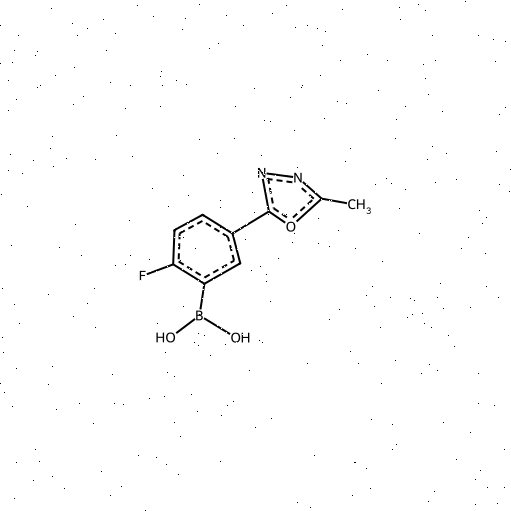 Cc1nnc(-c2ccc(F)c(B(O)O)c2)o1